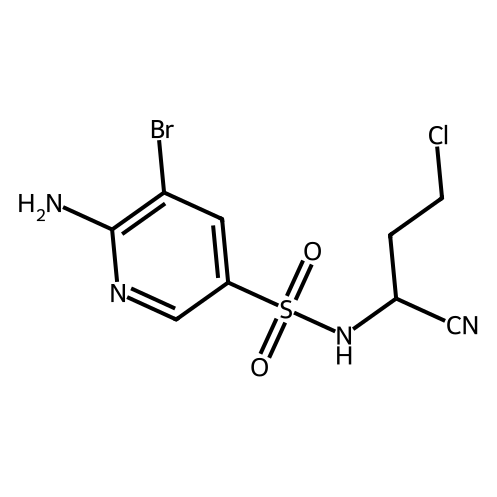 N#CC(CCCl)NS(=O)(=O)c1cnc(N)c(Br)c1